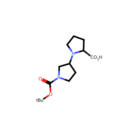 CC(C)(C)OC(=O)N1CCC(N2CCCC2C(=O)O)C1